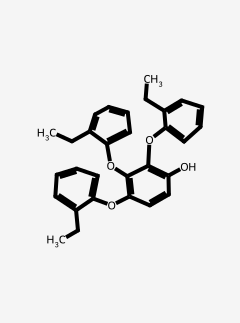 CCc1ccccc1Oc1ccc(O)c(Oc2ccccc2CC)c1Oc1ccccc1CC